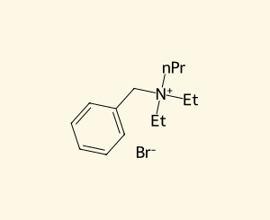 CCC[N+](CC)(CC)Cc1ccccc1.[Br-]